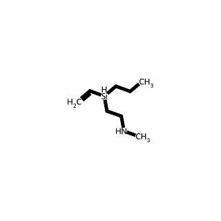 C=C[SiH](CCC)CCNC